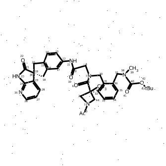 CC(=O)N1CC(C)(C(=O)N(CC(=O)Nc2ccc3c(c2)C[C@@]2(C3)C(=O)Nc3ncccc32)Cc2ccccc2CN(C)C(=O)OC(C)(C)C)C1